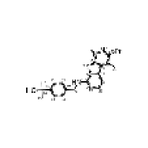 CCc1nnc2sc3c(NCc4ccc(C(C)(C)O)cc4)ncnc3c2c1C